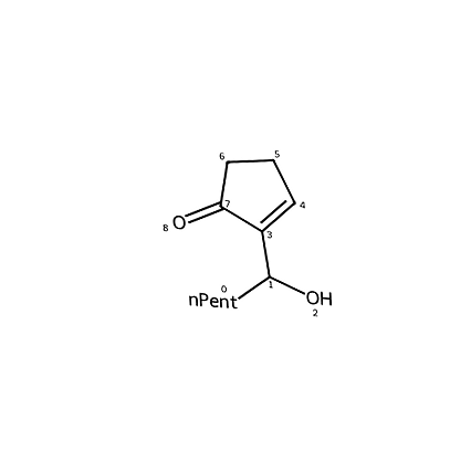 CCCCCC(O)C1=CCCC1=O